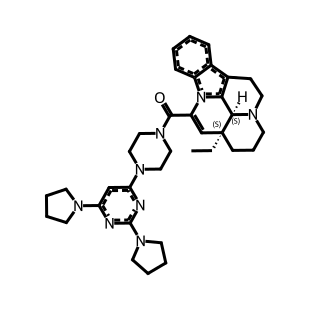 CC[C@@]12C=C(C(=O)N3CCN(c4cc(N5CCCC5)nc(N5CCCC5)n4)CC3)n3c4c(c5ccccc53)CCN(CCC1)[C@H]42